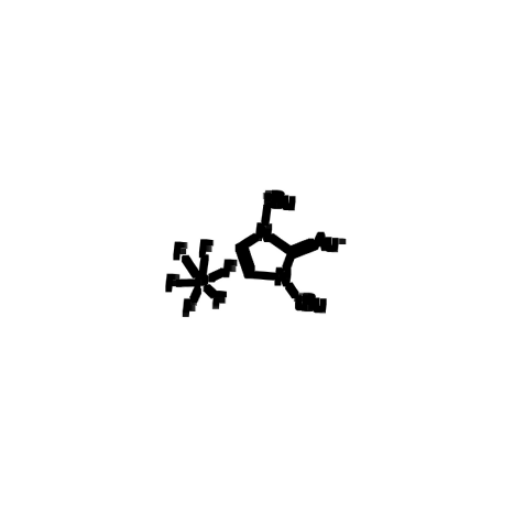 CC(C)(C)n1ccn(C(C)(C)C)[c]1=[Au-].F[P-](F)(F)(F)(F)F